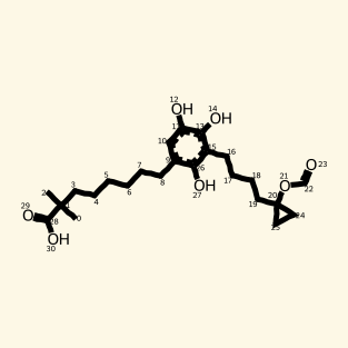 CC(C)(CCCCCCc1cc(O)c(O)c(CCCCC2(OC=O)CC2)c1O)C(=O)O